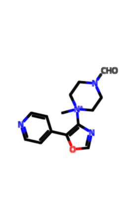 C[N+]1(c2ncoc2-c2ccncc2)CCN(C=O)CC1